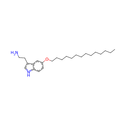 CCCCCCCCCCCCCCOc1ccc2[nH]cc(CCN)c2c1